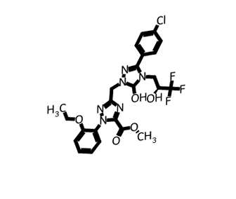 CCOc1ccccc1-n1nc(CN2N=C(c3ccc(Cl)cc3)N(C[C@H](O)C(F)(F)F)C2O)nc1C(=O)OC